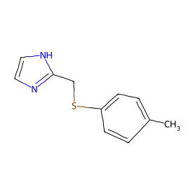 Cc1ccc(SCc2ncc[nH]2)cc1